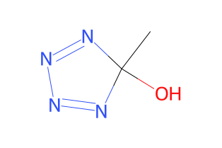 CC1(O)N=NN=N1